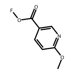 COc1ccc(C(=O)OF)cn1